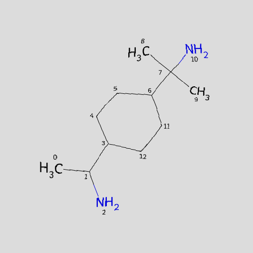 CC(N)C1CCC(C(C)(C)N)CC1